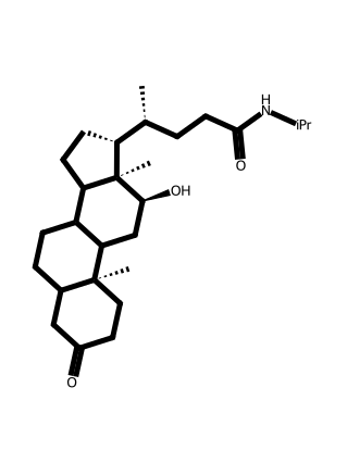 CC(C)NC(=O)CC[C@@H](C)[C@H]1CCC2C3CCC4CC(=O)CC[C@]4(C)C3C[C@H](O)[C@@]21C